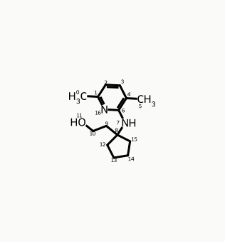 Cc1ccc(C)c(NC2(CCO)CCCC2)n1